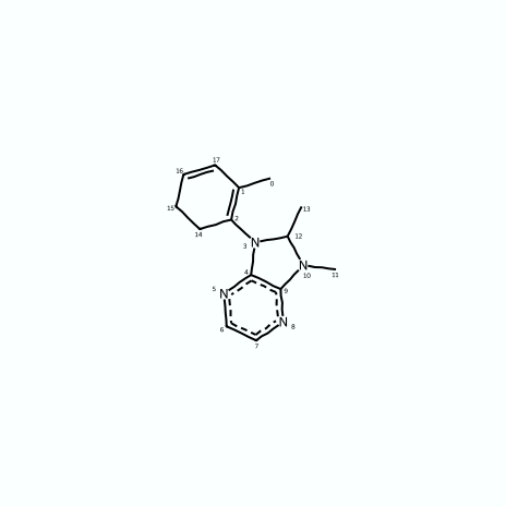 CC1=C(N2c3nccnc3N(C)C2C)CCC=C1